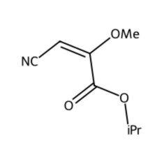 COC(=CC#N)C(=O)OC(C)C